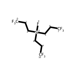 FC(F)(F)CC[Si](F)(CCC(F)(F)F)CCC(F)(F)F